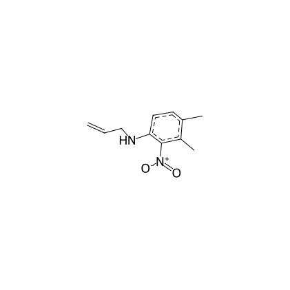 C=CCNc1ccc(C)c(C)c1[N+](=O)[O-]